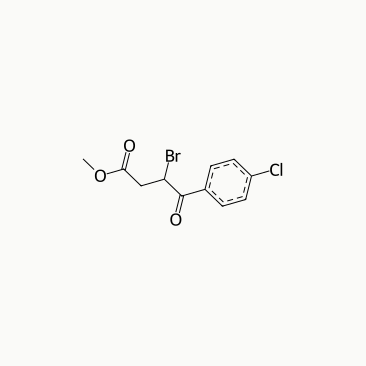 COC(=O)CC(Br)C(=O)c1ccc(Cl)cc1